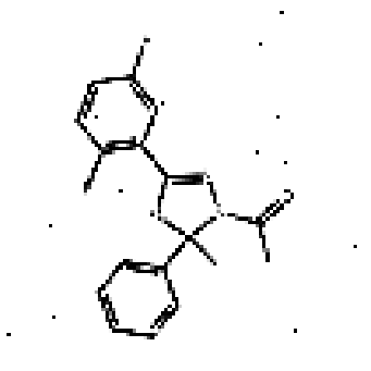 CC(=O)N1N=C(c2cc(F)ccc2F)OC1(C)c1ccccc1